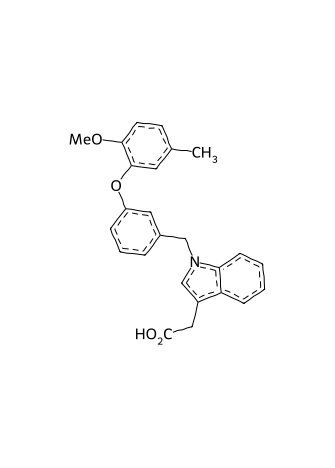 COc1ccc(C)cc1Oc1cccc(Cn2cc(CC(=O)O)c3ccccc32)c1